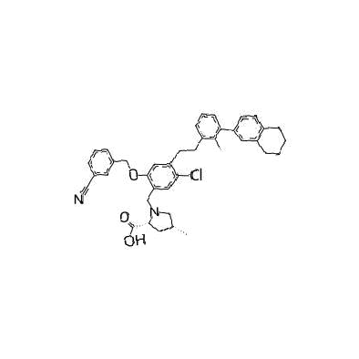 Cc1c(CCc2cc(OCc3cccc(C#N)c3)c(CN3C[C@H](C)C[C@@H]3C(=O)O)cc2Cl)cccc1-c1ccc2c(c1)CCCC2